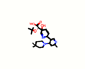 Cc1cc(N2CCC(C)(C)CC2)c(C2C=CC(O)([C@H](OC(C)(C)C)C(=O)O)C=N2)cn1